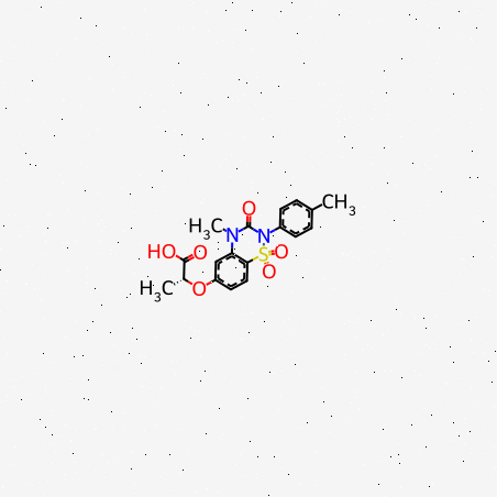 Cc1ccc(N2C(=O)N(C)c3cc(O[C@H](C)C(=O)O)ccc3S2(=O)=O)cc1